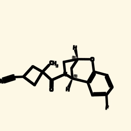 CC1(C(=O)N2C[C@@H]3C[C@H]2c2cc(F)ccc2O3)CC(C#N)C1